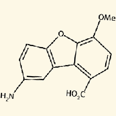 COc1ccc(C(=O)O)c2c1oc1ccc(N)cc12